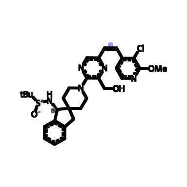 COc1nccc(/C=C\c2cnc(N3CCC4(CC3)Cc3ccccc3[C@H]4N[S+]([O-])C(C)(C)C)c(CO)n2)c1Cl